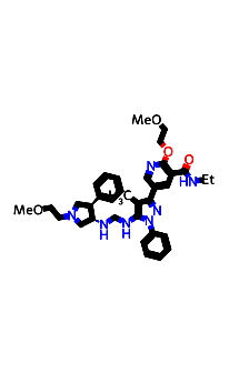 CCNC(=O)c1cc(-c2nn(-c3ccccc3)c(NCN[C@@H]3CN(CCOC)C[C@H]3c3ccccc3)c2C)cnc1OCCOC